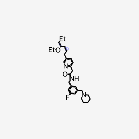 CC/C=C(\C=C/Cc1ccc(CC(=O)NCc2cc(F)cc(CN3CCCCC3)c2)nc1)OCC